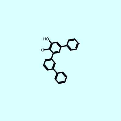 Oc1cc(-c2cc[c]cc2)cc(-c2cccc(-c3ccccc3)c2)c1Cl